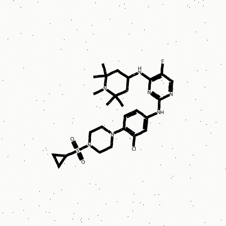 CN1C(C)(C)CC(Nc2nc(Nc3ccc(N4CCN(S(=O)(=O)C5CC5)CC4)c(Cl)c3)ncc2F)CC1(C)C